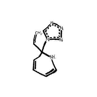 C=CC1(n2cnnn2)C=CC=CN1